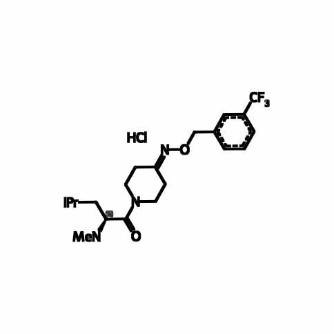 CN[C@@H](CC(C)C)C(=O)N1CCC(=NOCc2cccc(C(F)(F)F)c2)CC1.Cl